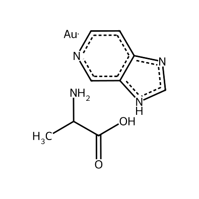 CC(N)C(=O)O.[Au].c1cc2nc[nH]c2cn1